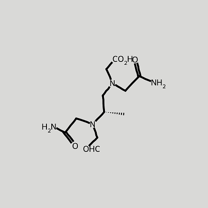 C[C@@H](CN(CC(N)=O)CC(=O)O)N(CC=O)CC(N)=O